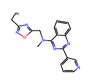 CC(C)Cc1noc(CN(C)c2nc(-c3cccnc3)nc3ccccc23)n1